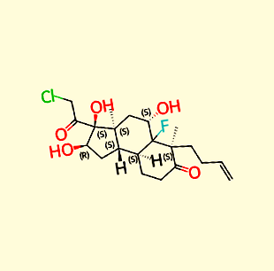 C=CCC[C@@]1(C)C(=O)CC[C@H]2[C@@H]3C[C@@H](O)[C@](O)(C(=O)CCl)[C@@]3(C)C[C@H](O)C21F